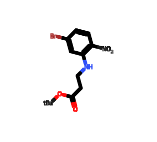 CC(C)(C)OC(=O)CCNc1cc(Br)ccc1[N+](=O)[O-]